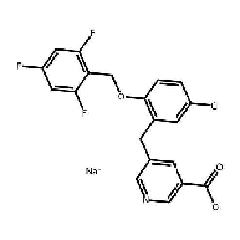 O=C([O-])c1cncc(Cc2cc(Cl)ccc2OCc2c(F)cc(F)cc2F)c1.[Na+]